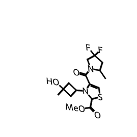 COC(=O)C1SC=C(C(=O)N2CC(F)(F)CC2C)N1C1CC(C)(O)C1